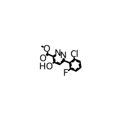 COC(=O)c1nnc(-c2c(F)cccc2Cl)cc1O